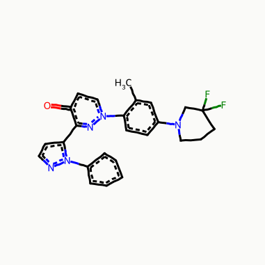 Cc1cc(N2CCCC(F)(F)C2)ccc1-n1ccc(=O)c(-c2ccnn2-c2ccccc2)n1